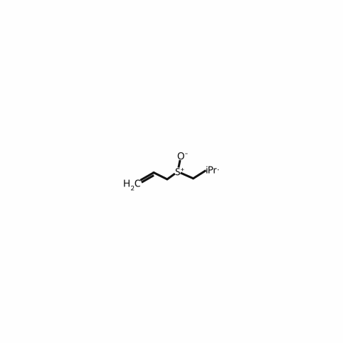 C=CC[S+]([O-])C[C](C)C